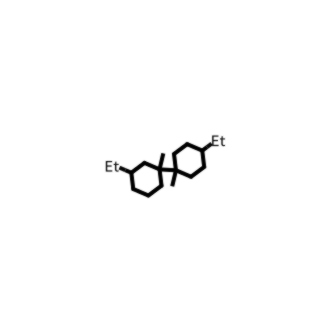 CCC1CCC(C)(C2(C)CCCC(CC)C2)CC1